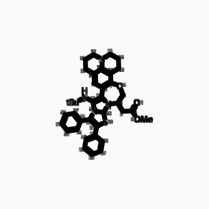 COC(=O)CC1COc2c(cc3c4c2CCCN4CCC3)C2=C(NC(C)(C)C)N3C(c4ccccc4)=C(c4ccccc4)SC3N21